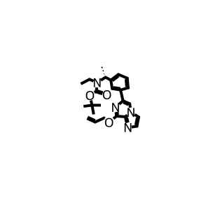 C=CCOc1nc(-c2cccc([C@@H](C)N(CC)C(=O)OC(C)(C)C)c2)cn2ccnc12